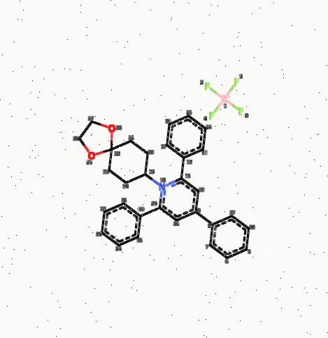 F[B-](F)(F)F.c1ccc(-c2cc(-c3ccccc3)[n+](C3CCC4(CC3)OCCO4)c(-c3ccccc3)c2)cc1